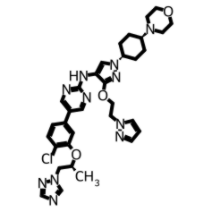 C[C@@H](Cn1cncn1)Oc1cc(-c2cnc(Nc3cn([C@H]4CC[C@H](N5CCOCC5)CC4)nc3OCCn3cccn3)nc2)ccc1Cl